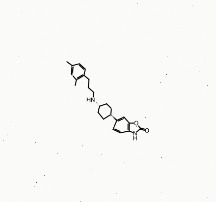 Cc1ccc(CCCN[C@H]2CC[C@H](c3ccc4[nH]c(=O)oc4c3)CC2)c(C)c1